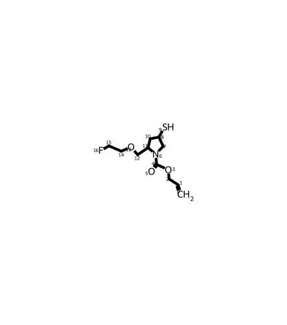 C=CCOC(=O)N1CC(S)CC1COCCF